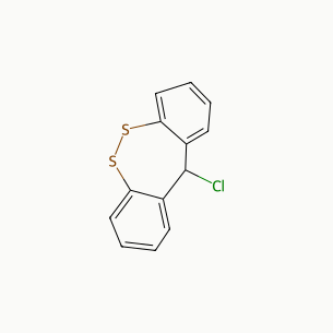 ClC1c2ccccc2SSc2ccccc21